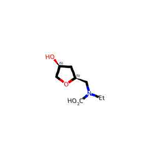 CCN(C[C@@H]1C[C@H](O)CO1)C(=O)O